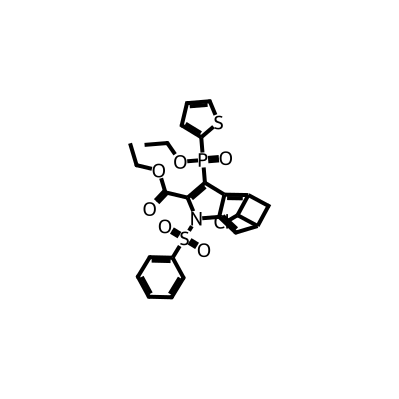 CCOC(=O)c1c(P(=O)(OCC)c2cccs2)c2c(n1S(=O)(=O)c1ccccc1)=CC1CC=2C1Cl